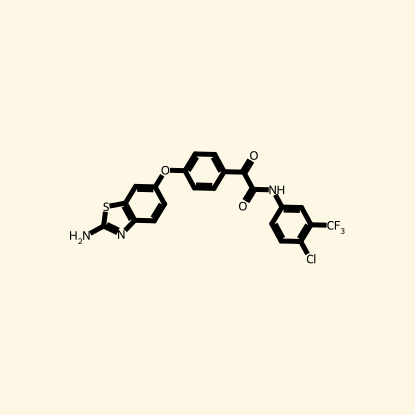 Nc1nc2ccc(Oc3ccc(C(=O)C(=O)Nc4ccc(Cl)c(C(F)(F)F)c4)cc3)cc2s1